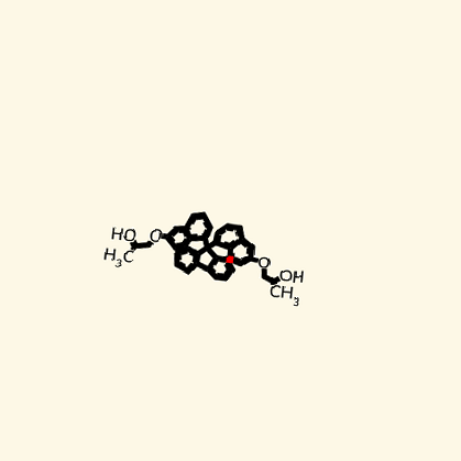 CC(O)COc1ccc2c(C3(c4cccc5cc(OCC(C)O)ccc45)c4ccccc4-c4ccccc43)cccc2c1